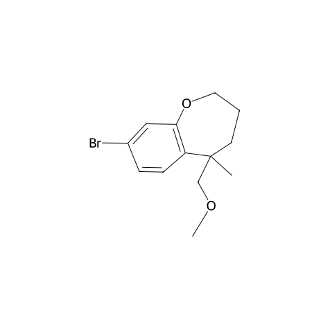 COCC1(C)CCCOc2cc(Br)ccc21